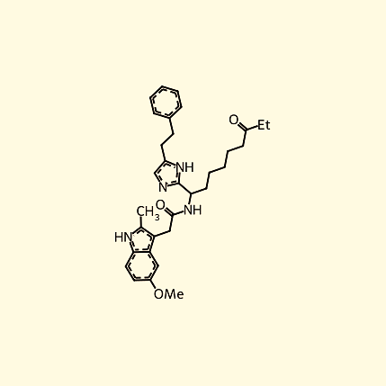 CCC(=O)CCCCCC(NC(=O)Cc1c(C)[nH]c2ccc(OC)cc12)c1ncc(CCc2ccccc2)[nH]1